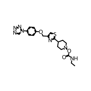 CCNC(=O)ON1CCC(c2nc(COc3ccc(-n4cnnn4)cc3)cs2)CC1